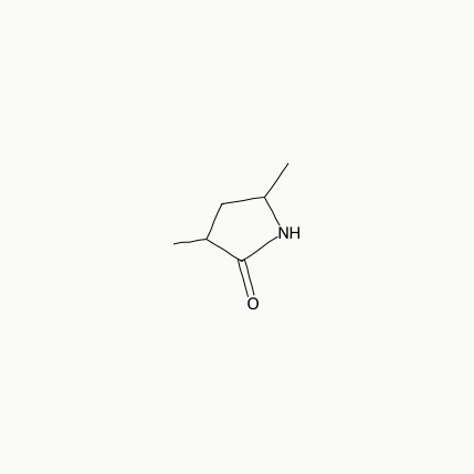 CC1CC(C)C(=O)N1